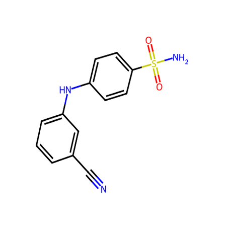 N#Cc1cccc(Nc2ccc(S(N)(=O)=O)cc2)c1